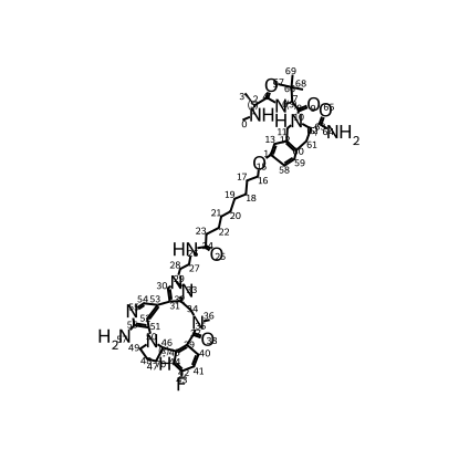 CN[C@@H](C)C(=O)N[C@H](C(=O)N1Cc2cc(OCCCCCCCCC(=O)NCCn3cc4c(n3)CN(C)C(=O)c3ccc(F)cc3[C@H]3CCCN3c3cc-4cnc3N)ccc2C[C@H]1C(N)=O)C(C)(C)C